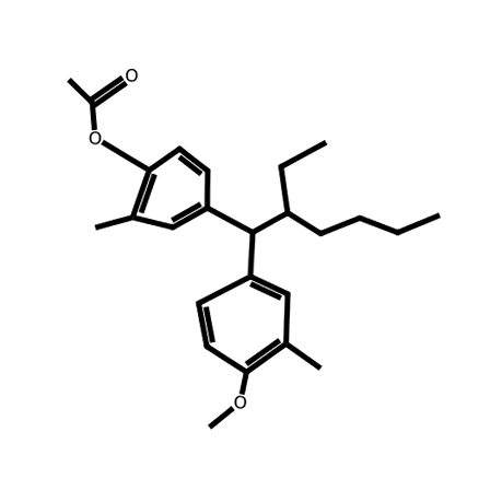 CCCCC(CC)C(c1ccc(OC)c(C)c1)c1ccc(OC(C)=O)c(C)c1